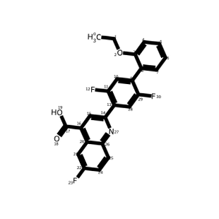 CCOc1ccccc1-c1cc(F)c(-c2cc(C(=O)O)c3cc(F)ccc3n2)cc1F